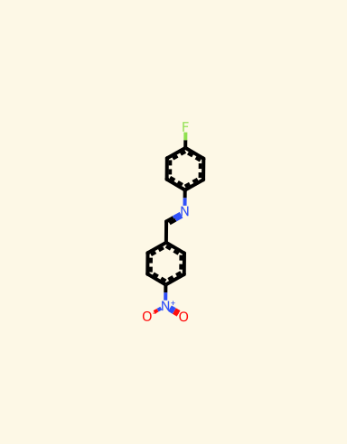 O=[N+]([O-])c1ccc(C=Nc2ccc(F)cc2)cc1